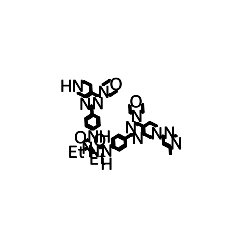 CCN(C(=O)Nc1ccc(-c2nc3c(c(N4CCOCC4)n2)CCNC3)cc1)N(CC)C(=O)Nc1ccc(-c2nc3c(c(N4CCOCC4)n2)CCN(c2cc(C)ncn2)C3)cc1